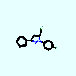 Clc1ccc(-n2nc(-c3ccccc3)cc2CBr)cc1